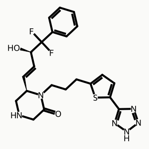 O=C1CNC[C@@H](C=C[C@@H](O)C(F)(F)c2ccccc2)N1CCCc1ccc(-c2nn[nH]n2)s1